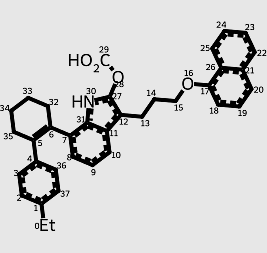 CCc1ccc(C2=C(c3cccc4c(CCCOc5cccc6ccccc56)c(OC(=O)O)[nH]c34)CCCC2)cc1